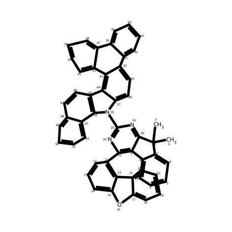 CC1(C)c2ccccc2-c2c(-c3cccc4oc5ccccc5c34)nc(-n3c4ccc5c6ccccc6c6ccccc6c5c4c4ccc5ccccc5c43)nc21